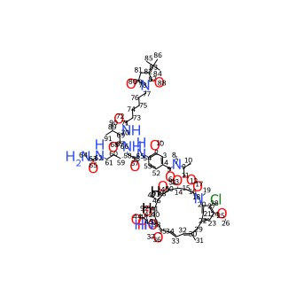 COc1cc(C(=O)N(C)[C@@H](C)C(=O)O[C@@H]2CC(=O)N(C)c3cc(cc(OC)c3Cl)C/C(C)=C/C=C/[C@@H](OC)[C@@]3(O)C[C@H](OC(=O)N3)[C@@H](C)[C@@H]3O[C@@]23C)ccc1NC(=O)[C@H](CCCNC(N)=O)NC(=O)[C@@H](NC(=O)CCCCCN1C(=O)CC(C(C)(C)C)C1=O)C(C)C